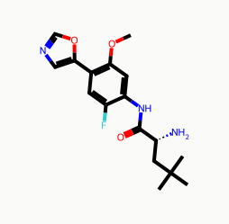 COc1cc(NC(=O)[C@H](N)CC(C)(C)C)c(F)cc1-c1cnco1